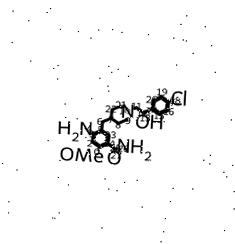 COc1cc(N)c(CC2CCN(CC(O)c3ccc(Cl)cc3)CC2)cc1C(N)=O